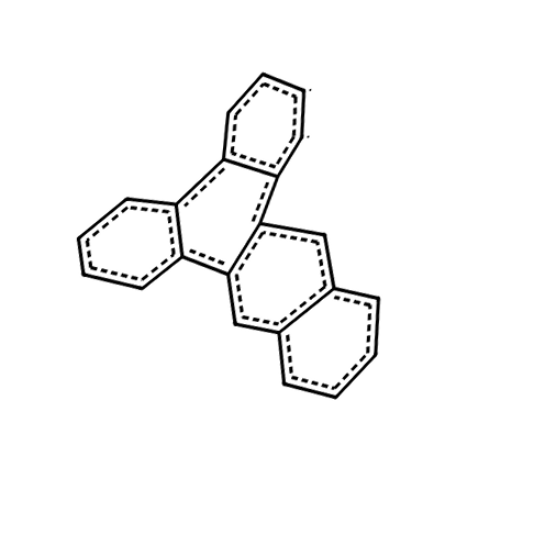 [c]1[c]c2c(cc1)c1ccccc1c1cc3ccccc3cc21